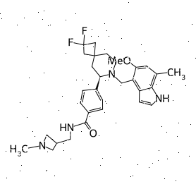 COc1cc(C)c2[nH]ccc2c1CN1CCC2(C[C@@H]1c1ccc(C(=O)NCC3CN(C)C3)cc1)CC(F)(F)C2